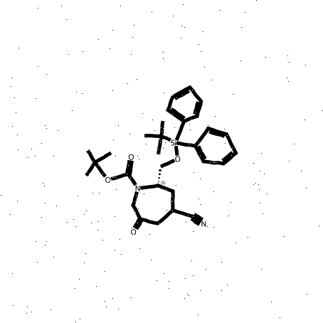 CC(C)(C)OC(=O)N1CC(=O)CC(C#N)C[C@H]1CO[Si](c1ccccc1)(c1ccccc1)C(C)(C)C